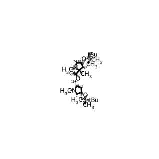 CN1C[C@H](O[Si](C)(C)C(C)(C)C)C[C@H]1COC(=O)[C@]1(C)C[C@@H](O[Si](C)(C)C(C)(C)C)CN1C